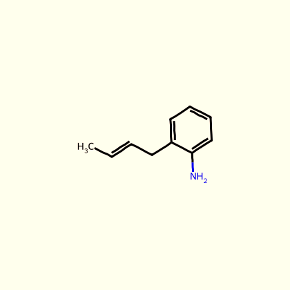 CC=CCc1ccccc1N